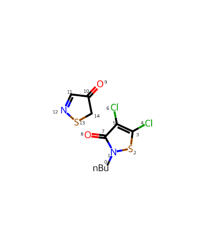 CCCCn1sc(Cl)c(Cl)c1=O.O=C1C=NSC1